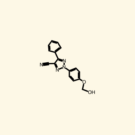 N#Cc1nn(-c2ccc(OCO)cc2)nc1-c1ccccc1